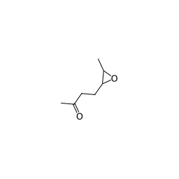 CC(=O)CCC1OC1C